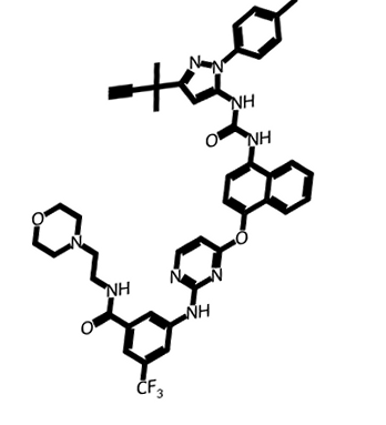 C#CC(C)(C)c1cc(NC(=O)Nc2ccc(Oc3ccnc(Nc4cc(C(=O)NCCN5CCOCC5)cc(C(F)(F)F)c4)n3)c3ccccc23)n(-c2ccc(C)cc2)n1